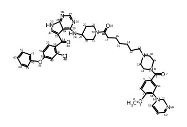 COc1ccc(C(=O)N2CCN(CCCCCCC(=O)N3CCC(Nc4ncnc5[nH]cc(C(=O)c6ccc(Oc7ccccc7)cc6Cl)c45)CC3)CC2)cc1N1C=CC=NC1